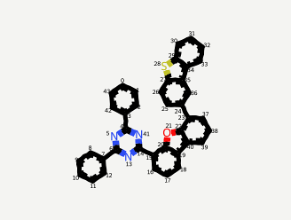 c1ccc(-c2nc(-c3ccccc3)nc(-c3cccc4c3oc3c(-c5ccc6sc7ccccc7c6c5)cccc34)n2)cc1